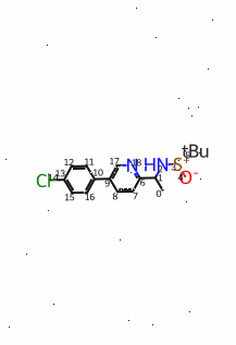 CC(N[S@@+]([O-])C(C)(C)C)c1ccc(-c2ccc(Cl)cc2)cn1